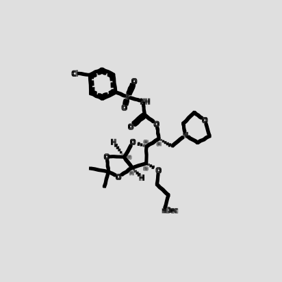 CCCCCCCCCCCCO[C@@H]1[C@H]2OC(C)(C)O[C@H]2O[C@@H]1[C@@H](CN1CCOCC1)OC(=O)NS(=O)(=O)c1ccc(Cl)cc1